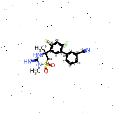 CN1C(=N)N[C@](C)(c2cc(-c3cccc(C#N)c3)c(F)cc2F)CS1(=O)=O